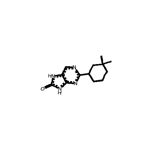 CC1(C)CCCC(c2ncc3[nH]c(=O)[nH]c3n2)C1